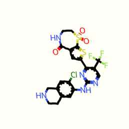 O=C1NCCS(=O)(=O)c2sc(-c3nc(Nc4cc5c(cc4Cl)CNCC5)ncc3C(F)(F)F)cc21